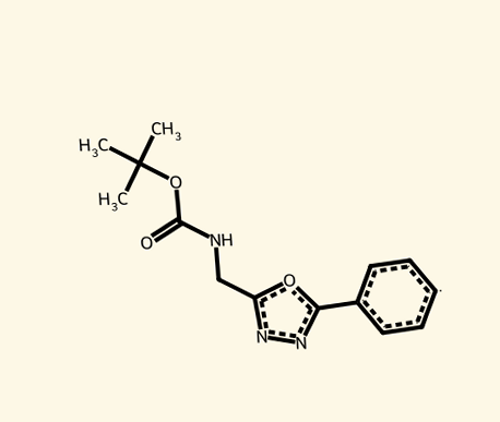 CC(C)(C)OC(=O)NCc1nnc(-c2cc[c]cc2)o1